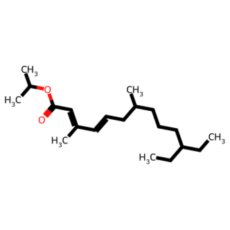 CCC(CC)CCCC(C)CC=CC(C)=CC(=O)OC(C)C